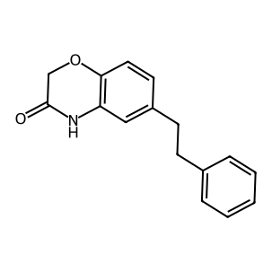 O=C1COc2ccc(CCc3ccccc3)cc2N1